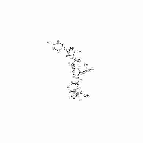 Cc1nn(-c2ccc(F)cc2)cc1C(=O)Nc1ccc(CN2CCC[C@H]([C@](C)(O)CO)C2)c(OC(F)F)c1